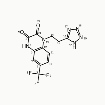 O=c1[nH]c2cc(C(F)(F)F)ccc2n(CCc2nnn[nH]2)c1=O